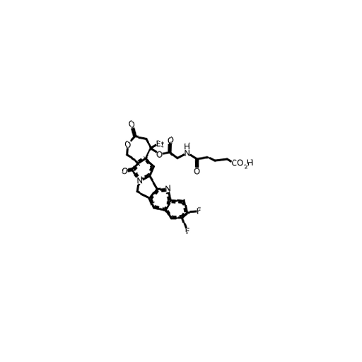 CCC1(OC(=O)CNC(=O)CCCC(=O)O)CC(=O)OCc2c1cc1n(c2=O)Cc2cc3cc(F)c(F)cc3nc2-1